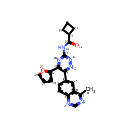 Cc1ncnc2ccc(-c3nnc(NC(=O)C4CCC4)nc3-c3ccco3)cc12